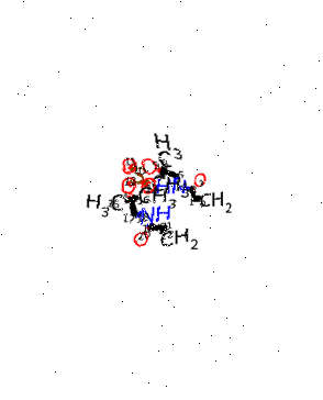 C=CC(=O)NCC(C)(C)OS(=O)(=O)OC(C)(C)CNC(=O)C=C